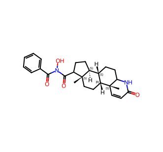 C[C@]12C=CC(=O)NC1CC[C@@H]1[C@H]2CC[C@]2(C)C(C(=O)N(O)C(=O)c3ccccc3)CC[C@@H]12